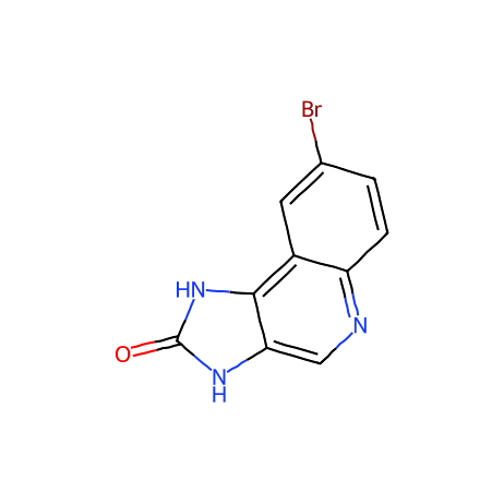 O=c1[nH]c2cnc3ccc(Br)cc3c2[nH]1